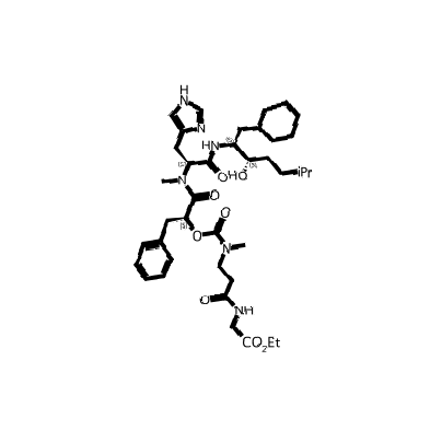 CCOC(=O)CNC(=O)CCN(C)C(=O)O[C@@H](Cc1ccccc1)C(=O)N(C)[C@@H](Cc1c[nH]cn1)C(=O)N[C@@H](CC1CCCCC1)[C@@H](O)CCC(C)C